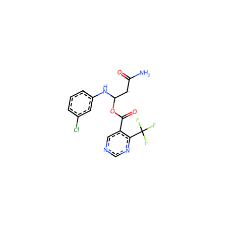 NC(=O)[CH]C(Nc1cccc(Cl)c1)OC(=O)c1cncnc1C(F)(F)F